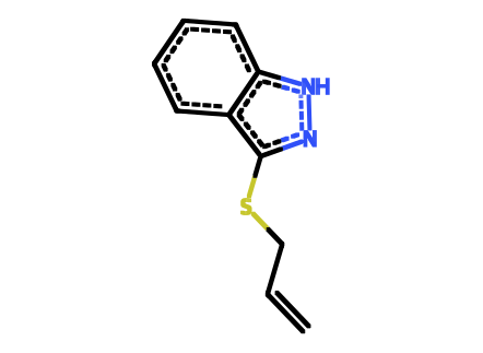 C=CCSc1n[nH]c2ccccc12